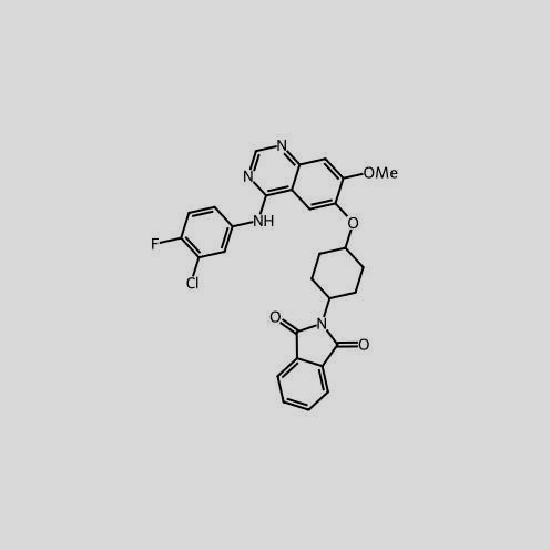 COc1cc2ncnc(Nc3ccc(F)c(Cl)c3)c2cc1OC1CCC(N2C(=O)c3ccccc3C2=O)CC1